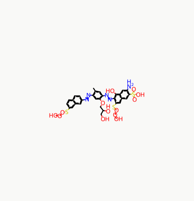 Cc1cc(N=Nc2c(SOOO)cc3cc(S(=O)(=O)O)c(N)cc3c2O)c(OCC(O)CO)cc1N=Nc1ccc2ccc(SOOO)cc2c1